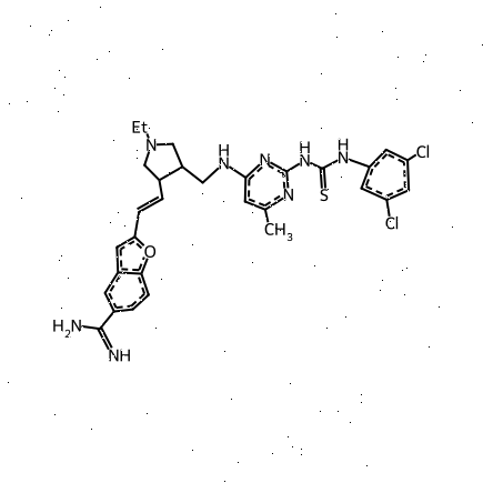 CCN1CC(/C=C/c2cc3cc(C(=N)N)ccc3o2)C(CNc2cc(C)nc(NC(=S)Nc3cc(Cl)cc(Cl)c3)n2)C1